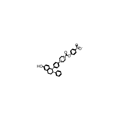 O=C(Oc1ccc([N+](=O)[O-])cc1)N1CCN(c2ccc([C@@H]3c4ccc(O)cc4CC[C@@H]3c3ccccc3)cc2)CC1